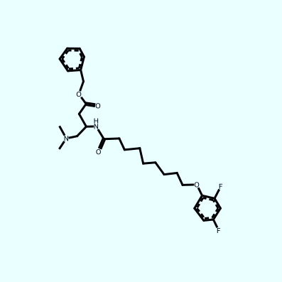 CN(C)CC(CC(=O)OCc1ccccc1)NC(=O)CCCCCCCCOc1ccc(F)cc1F